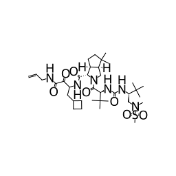 C=CCNC(=O)C(=O)C(CC1CCC1)NC(=O)[C@@H]1[C@H]2CCC(C)(C)[C@H]2CN1C(=O)[C@@H](NC(=O)N[C@H](CN(C)S(C)(=O)=O)C(C)(C)C)C(C)(C)C